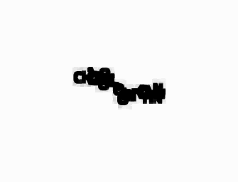 Cc1cc(S(=O)(=O)N(C)CCOCC(=O)N(C)Cc2ccc(C3=NCCN3)cc2)ccc1Cl